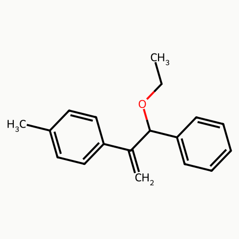 C=C(c1ccc(C)cc1)C(OCC)c1ccccc1